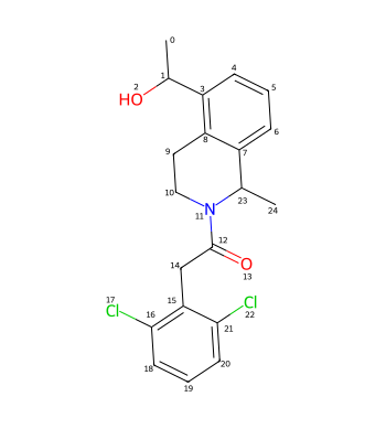 CC(O)c1cccc2c1CCN(C(=O)Cc1c(Cl)cccc1Cl)C2C